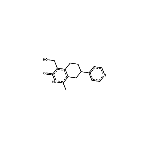 Cc1[nH]c(=O)c(CO)c2c1CC(c1ccncc1)CC2